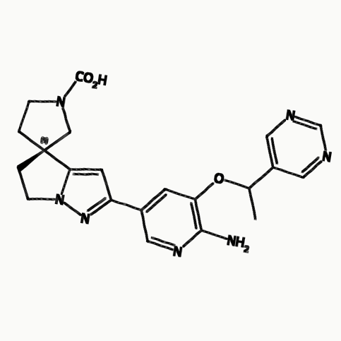 CC(Oc1cc(-c2cc3n(n2)CC[C@]32CCN(C(=O)O)C2)cnc1N)c1cncnc1